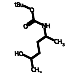 CC(O)CCC(C)NC(=O)OC(C)(C)C